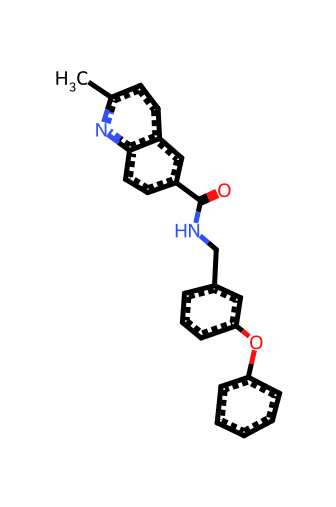 Cc1ccc2cc(C(=O)NCc3cccc(Oc4ccccc4)c3)ccc2n1